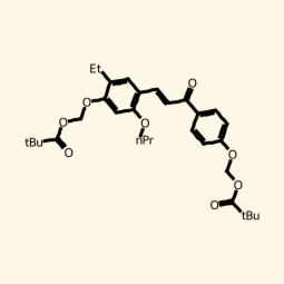 CCCOc1cc(OCOC(=O)C(C)(C)C)c(CC)cc1/C=C/C(=O)c1ccc(OCOC(=O)C(C)(C)C)cc1